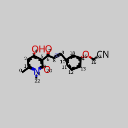 Cc1cc(O)c(C(=O)/C=C/c2cccc(OCC#N)c2)c(=O)n1C